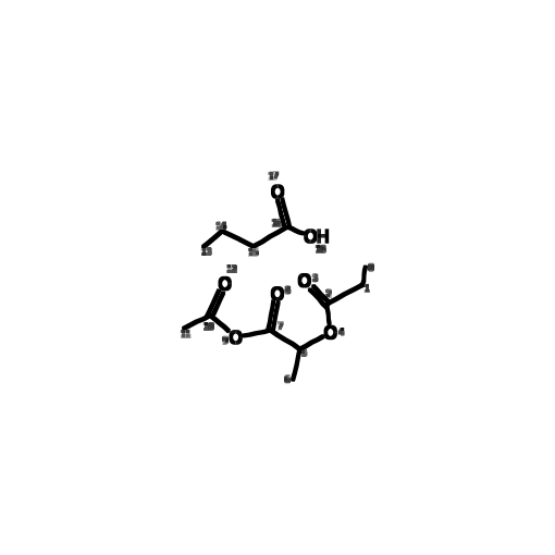 CCC(=O)OC(C)C(=O)OC(C)=O.CCCC(=O)O